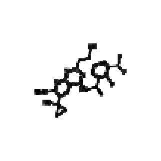 COc1nc2nc(CCO)nc(N[C@H](C)c3cccc(C(F)F)c3F)c2cc1C1(C#N)CC1